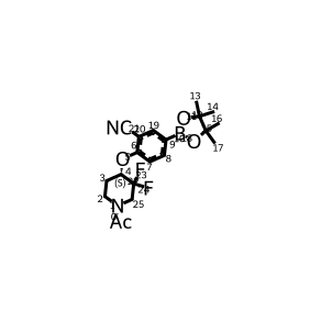 CC(=O)N1CC[C@H](Oc2ccc(B3OC(C)(C)C(C)(C)O3)cc2C#N)C(F)(F)C1